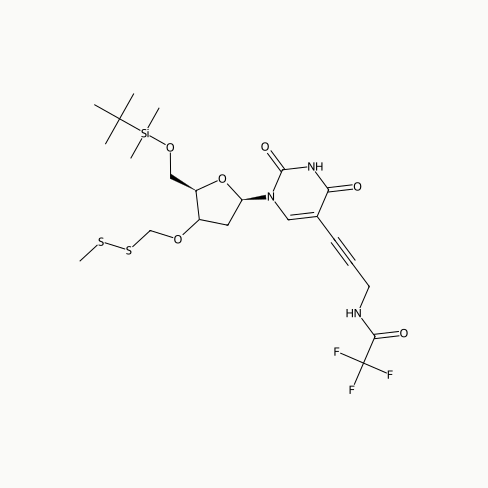 CSSCOC1C[C@H](n2cc(C#CCNC(=O)C(F)(F)F)c(=O)[nH]c2=O)O[C@@H]1CO[Si](C)(C)C(C)(C)C